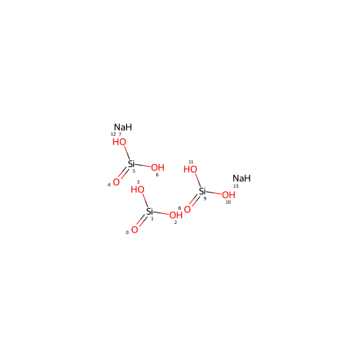 O=[Si](O)O.O=[Si](O)O.O=[Si](O)O.[NaH].[NaH]